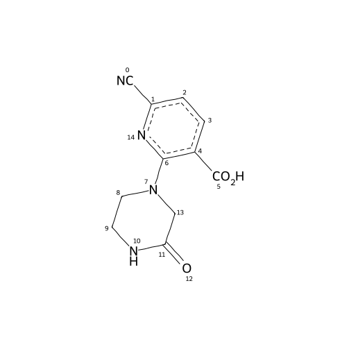 N#Cc1ccc(C(=O)O)c(N2CCNC(=O)C2)n1